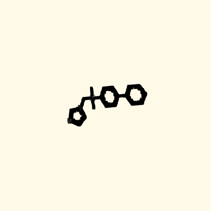 C[Si](C)(Cn1ccnc1)c1ccc(-c2ccccc2)cc1